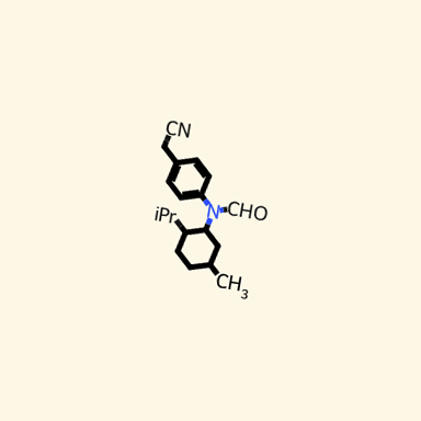 CC1CCC(C(C)C)C(N(C=O)c2ccc(CC#N)cc2)C1